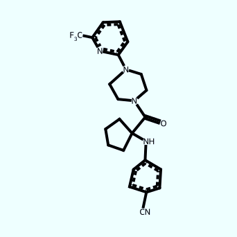 N#Cc1ccc(NC2(C(=O)N3CCN(c4cccc(C(F)(F)F)n4)CC3)CCCC2)cc1